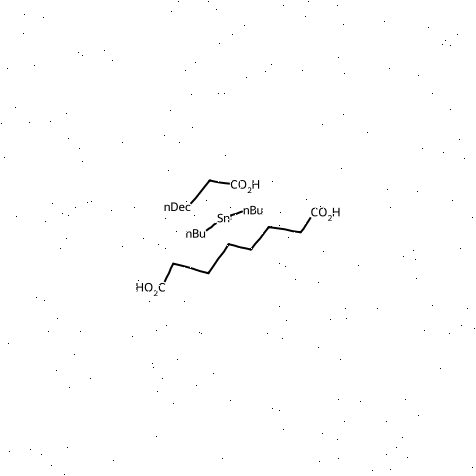 CCCCCCCCCCCC(=O)O.CCC[CH2][Sn][CH2]CCC.O=C(O)CCCCCCC(=O)O